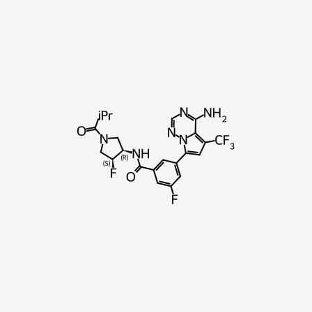 CC(C)C(=O)N1C[C@H](F)[C@H](NC(=O)c2cc(F)cc(-c3cc(C(F)(F)F)c4c(N)ncnn34)c2)C1